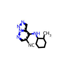 [C-]#[N+]c1cnn2nncc2c1NC1CCCCC1C